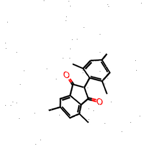 Cc1cc(C)c(C2C(=O)c3cc(C)cc(C)c3C2=O)c(C)c1